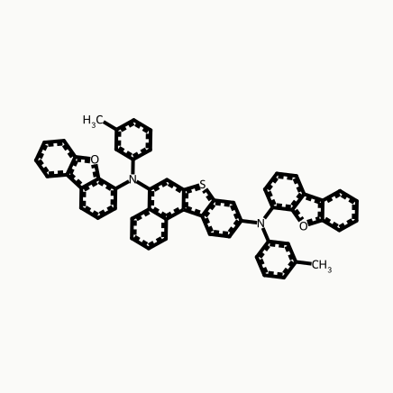 Cc1cccc(N(c2ccc3c(c2)sc2cc(N(c4cccc(C)c4)c4cccc5c4oc4ccccc45)c4ccccc4c23)c2cccc3c2oc2ccccc23)c1